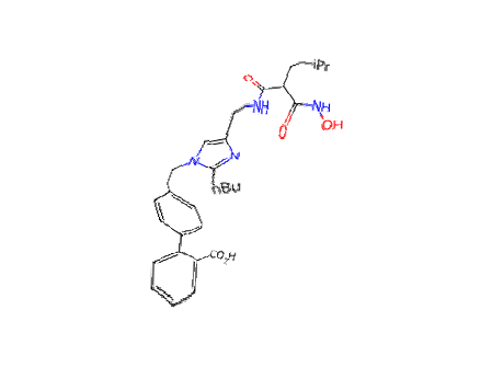 CCCCc1nc(CNC(=O)C(CC(C)C)C(=O)NO)cn1Cc1ccc(-c2ccccc2C(=O)O)cc1